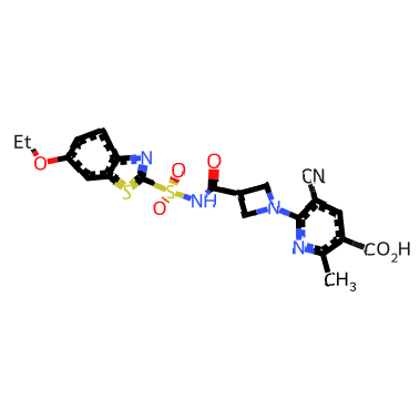 CCOc1ccc2nc(S(=O)(=O)NC(=O)C3CN(c4nc(C)c(C(=O)O)cc4C#N)C3)sc2c1